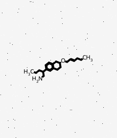 CCC/C=C/CO[C@H]1CCc2cc(C(CN)CCC)ccc2C1